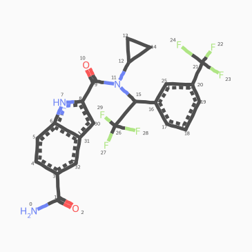 NC(=O)c1ccc2[nH]c(C(=O)N(C3CC3)C(c3cccc(C(F)(F)F)c3)C(F)(F)F)cc2c1